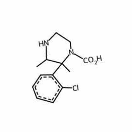 CC1NCCN(C(=O)O)C1(C)c1ccccc1Cl